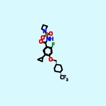 O=C(NS(=O)(=O)N1CCC1)c1cc(C2CC2)c(OC[C@H]2CC[C@@H](C(F)(F)F)CC2)cc1F